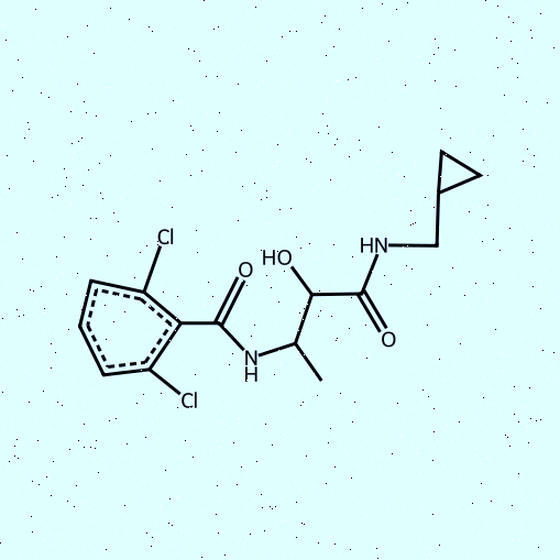 CC(NC(=O)c1c(Cl)cccc1Cl)C(O)C(=O)NCC1CC1